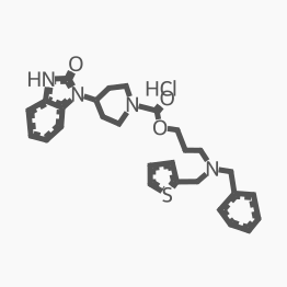 Cl.O=C(OCCCN(Cc1ccccc1)Cc1cccs1)N1CCC(n2c(=O)[nH]c3ccccc32)CC1